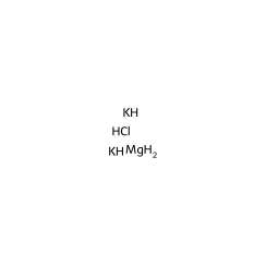 Cl.[KH].[KH].[MgH2]